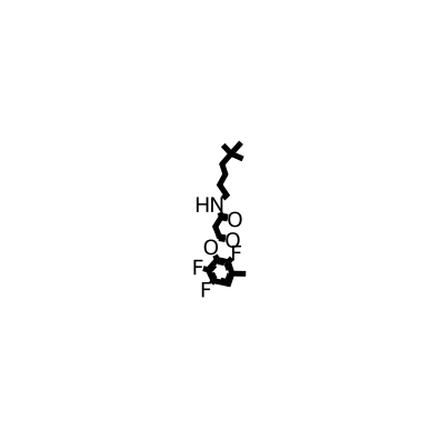 Cc1cc(F)c(F)c(OC(=O)CC(=O)NCCCCC(C)(C)C)c1F